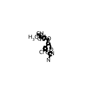 CN(C)S(=O)(=O)c1ccc(C(=O)N2CC(CCOc3ccc(C#N)cn3)C(c3ccc(Cl)c(Cl)c3)C2)cn1